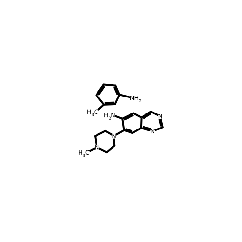 CN1CCN(c2cc3ncncc3cc2N)CC1.Cc1cccc(N)c1